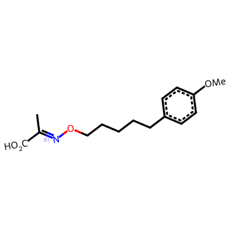 COc1ccc(CCCCCO/N=C(\C)C(=O)O)cc1